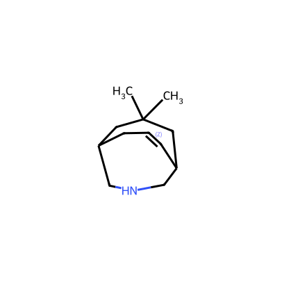 CC1(C)CC2/C=C\CC(CNC2)C1